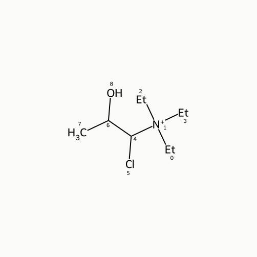 CC[N+](CC)(CC)C(Cl)C(C)O